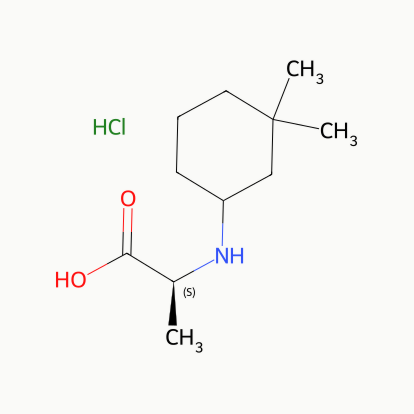 C[C@H](NC1CCCC(C)(C)C1)C(=O)O.Cl